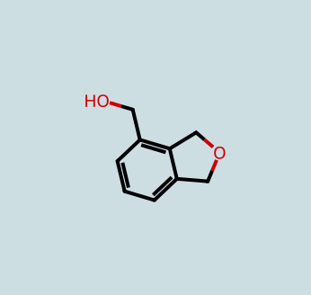 OCc1cccc2c1COC2